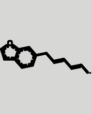 [CH2]C=CC=CCc1ccc2ccoc2c1